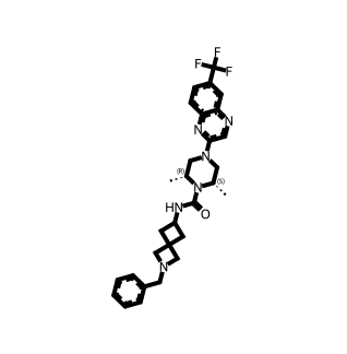 C[C@@H]1CN(c2cnc3cc(C(F)(F)F)ccc3n2)C[C@H](C)N1C(=O)NC1CC2(C1)CN(Cc1ccccc1)C2